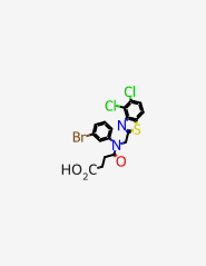 O=C(O)CCC(=O)N(Cc1nc2c(Cl)c(Cl)ccc2s1)c1cccc(Br)c1